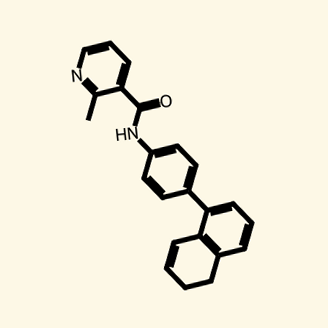 Cc1ncccc1C(=O)Nc1ccc(-c2cccc3c2C=CCC3)cc1